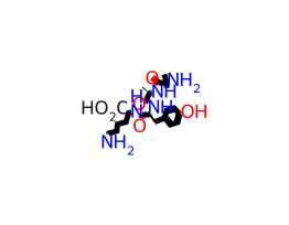 C[C@H](NC(=O)C(C)(C)N)C(=O)N[C@@H](Cc1ccc(O)cc1)C(=O)N[C@@H](CCCCN)C(=O)O